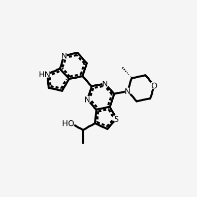 CC(O)c1csc2c(N3CCOC[C@H]3C)nc(-c3ccnc4[nH]ccc34)nc12